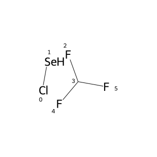 Cl[SeH].FC(F)F